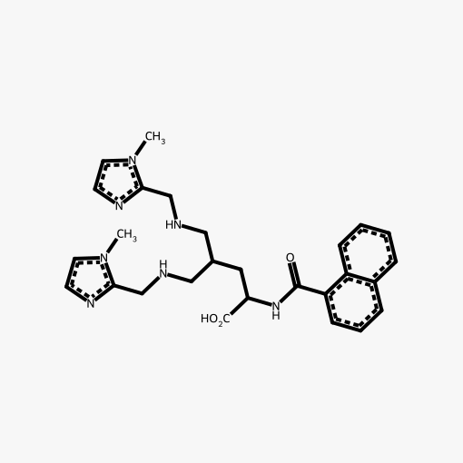 Cn1ccnc1CNCC(CNCc1nccn1C)CC(NC(=O)c1cccc2ccccc12)C(=O)O